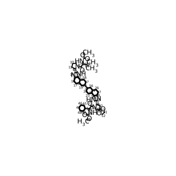 COC(=O)N[C@H](C(=O)N1CCC[C@H]1c1nc2ccc3cc(-c4ccc5c(ccc6nc([C@@H]7CC8(CN7C(=O)[C@H](NC(=O)OC)c7ccccc7)OCCO8)[nH]c65)c4)ccc3c2[nH]1)C(C)C